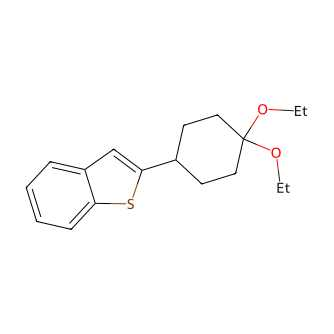 CCOC1(OCC)CCC(c2cc3ccccc3s2)CC1